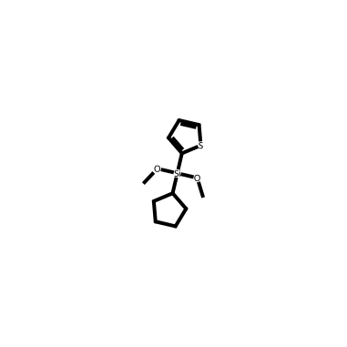 CO[Si](OC)(c1cccs1)C1CCCC1